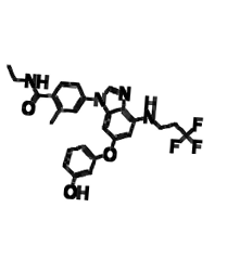 CCNC(=O)c1ccc(-n2cnc3c(NCCC(F)(F)F)cc(Oc4cccc(O)c4)cc32)cc1C